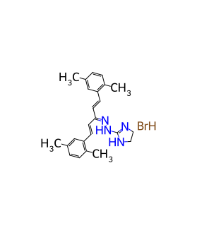 Br.Cc1ccc(C)c(/C=C/C(/C=C/c2cc(C)ccc2C)=NNC2=NCCN2)c1